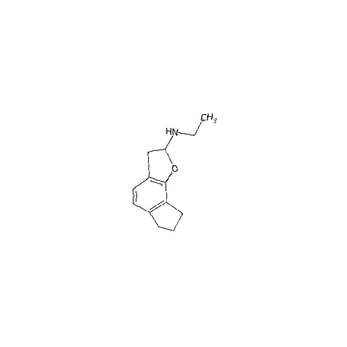 CCNC1Cc2ccc3c(c2O1)CCC3